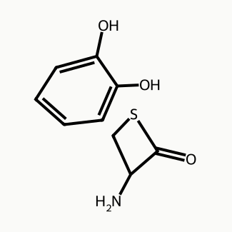 NC1CSC1=O.Oc1ccccc1O